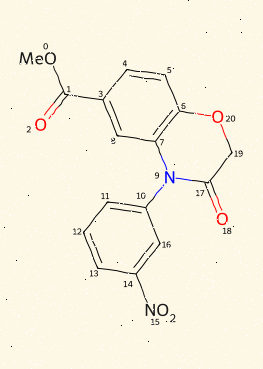 COC(=O)c1ccc2c(c1)N(c1cccc([N+](=O)[O-])c1)C(=O)CO2